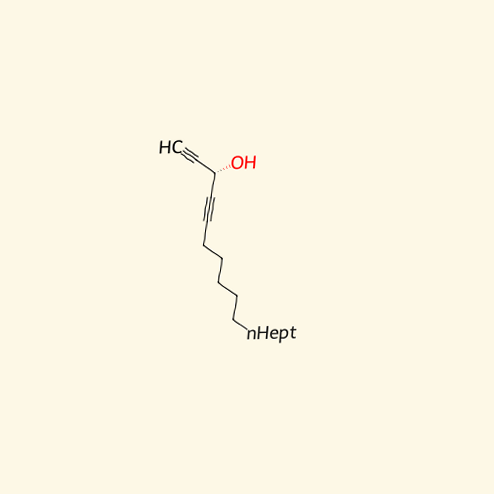 C#C[C@H](O)C#CCCCCCCCCCCCC